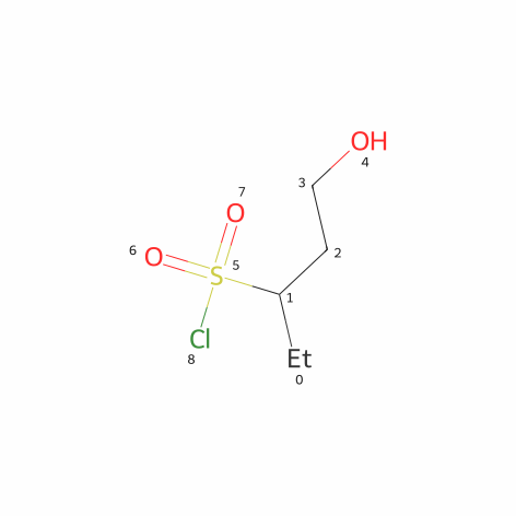 CCC(CCO)S(=O)(=O)Cl